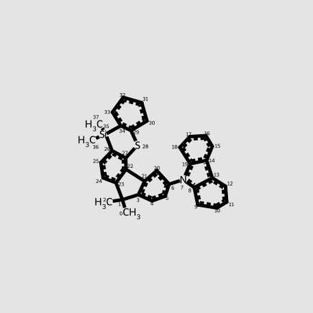 CC1(C)c2ccc(-n3c4ccccc4c4ccccc43)cc2-c2c1ccc1c2Sc2ccccc2[Si]1(C)C